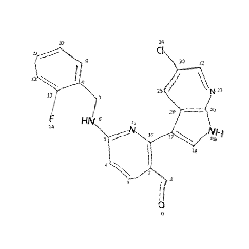 O=Cc1ccc(NCc2ccccc2F)nc1-c1c[nH]c2ncc(Cl)cc12